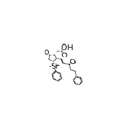 C[Si](C)(c1ccccc1)[C@@H]1CC(=O)[C@H](CC(=O)O)[C@H]1/C=C/C(=O)CCc1ccccc1